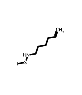 C=CCCCCNSI